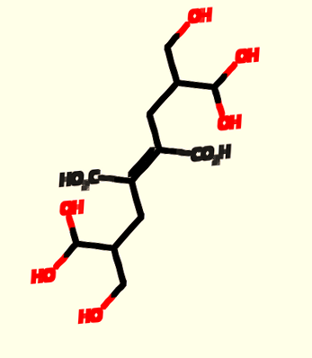 O=C(O)C(CC(CO)C(O)O)=C(CC(CO)C(O)O)C(=O)O